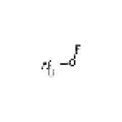 FOF.[Al].[Li]